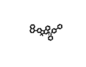 CC1(C)c2cc(-c3cccc4ccccc34)ccc2-c2c1cc(N(c1ccccc1)c1ccc(-c3ccccc3)cc1)c1ccccc21